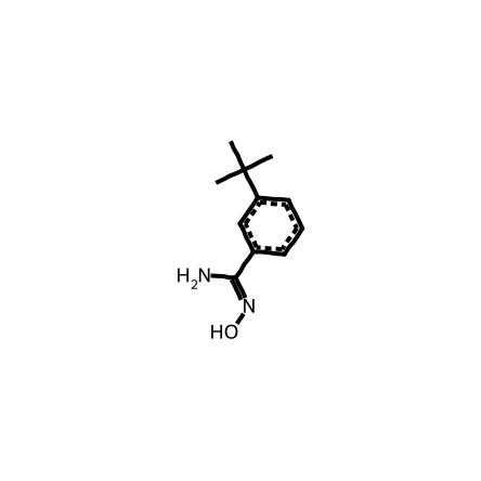 CC(C)(C)c1cccc(/C(N)=N/O)c1